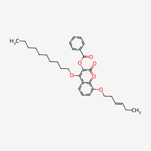 CC/C=C/CCOc1cccc2c(OCCCCCCCCCC)c(OC(=O)c3ccccc3)c(=O)oc12